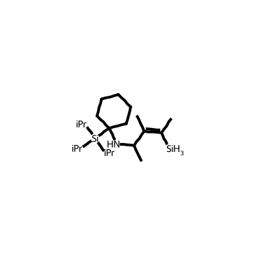 CC([SiH3])=C(C)C(C)NC1([Si](C(C)C)(C(C)C)C(C)C)CCCCC1